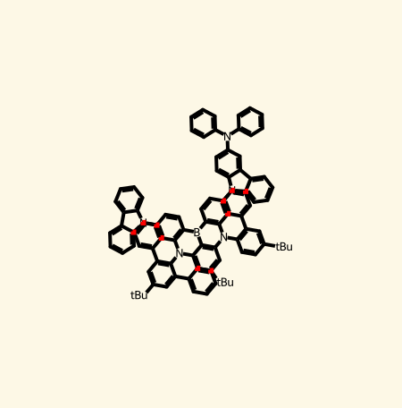 CC(C)(C)c1ccc(N2c3cc(-n4c5ccccc5c5cc(N(c6ccccc6)c6ccccc6)ccc54)ccc3B3c4ccc(-n5c6ccccc6c6ccccc65)cc4N(c4c(-c5ccccc5)cc(C(C)(C)C)cc4-c4ccccc4)c4cc(C(C)(C)C)cc2c43)c(-c2ccccc2)c1